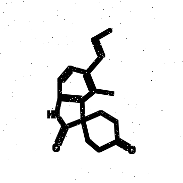 C/C=C/c1ccc2c(c1C)C1(CCC(=O)CC1)C(=O)N2